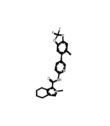 Cc1cc2c(cc1-c1ccc(NC(=O)c3c4c(cn3C)CCCC4)nc1)OC(F)(F)O2